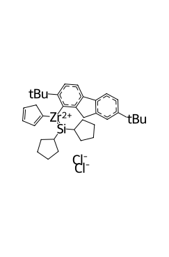 CC(C)(C)c1ccc2c(c1)Cc1c-2ccc(C(C)(C)C)[c]1[Zr+2]([C]1=CC=CC1)=[Si](C1CCCC1)C1CCCC1.[Cl-].[Cl-]